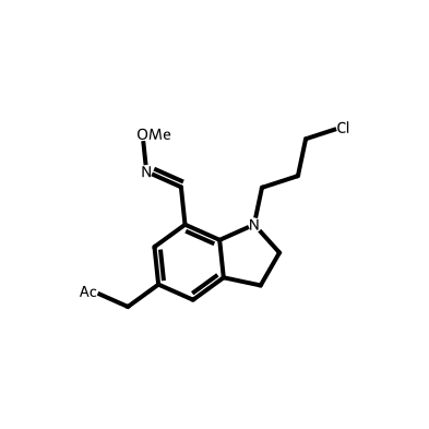 CON=Cc1cc(CC(C)=O)cc2c1N(CCCCl)CC2